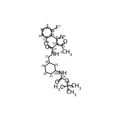 Cc1onc(-c2c(F)cccc2Cl)c1C(=O)NCC1CCCC(NC(=O)OC(C)(C)C)C1